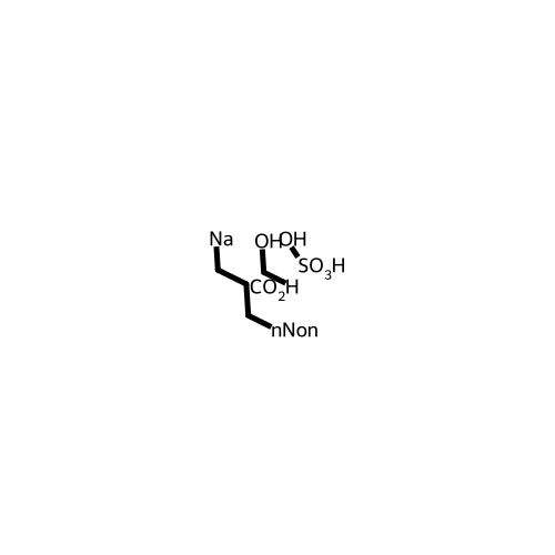 CCCCCCCCCCC[CH2][Na].O=C(O)CO.O=S(=O)(O)O